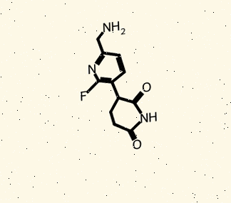 NCc1ccc(C2CCC(=O)NC2=O)c(F)n1